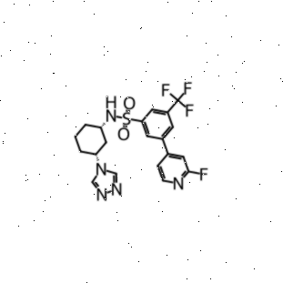 O=S(=O)(N[C@H]1CCC[C@@H](n2cnnc2)C1)c1cc(-c2ccnc(F)c2)cc(C(F)(F)F)c1